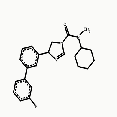 CN(C(=O)N1C=NC(c2cccc(-c3cccc(F)c3)c2)C1)C1CCCCC1